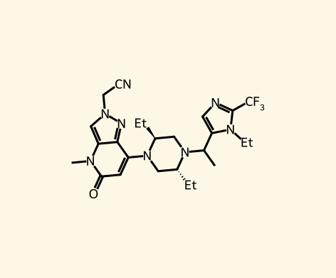 CC[C@H]1CN(C(C)c2cnc(C(F)(F)F)n2CC)[C@H](CC)CN1c1cc(=O)n(C)c2cn(CC#N)nc12